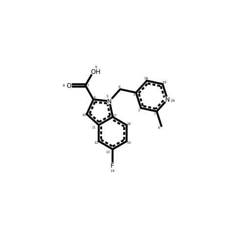 Cc1cc(Cn2c(C(=O)O)cc3cc(F)ccc32)ccn1